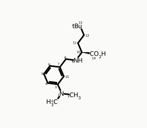 CN(C)c1cccc(CN[C@@H](CCC(C)(C)C)C(=O)O)c1